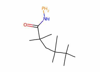 CC(C)(CC(C)(C)C(C)(C)C)C(=O)NP